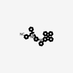 CC(CC(N)c1cccc(C#N)c1)(/N=C/c1cccc(Nc2ccccc2-c2ccc3c(c2)-c2ccccc2C3(c2ccccc2)c2ccccc2)c1)c1ccccc1